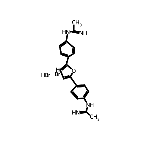 Br.Br.CC(=N)Nc1ccc(-c2ccc(-c3ccc(NC(C)=N)cc3)o2)cc1